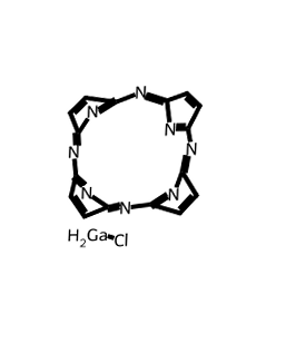 C1=C/C2=N/C3=NC(=N\C4=NC(=N\C5=NC(=N\C1=N2)/C=C5)/C=C4)/C=C3.[Cl][GaH2]